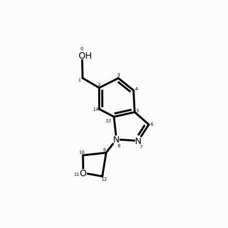 OCc1ccc2cnn(C3COC3)c2c1